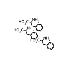 N[C@@H](Cc1ccccc1)C(=O)O.N[C@@H](Cc1ccccc1)C(=O)O.N[C@@H](Cc1ccccc1)C(=O)O